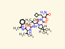 C=C(NC(=O)[C@@H](NC(=O)N[C@H](C(=O)N1C[C@H]2[C@@H]([C@H]1C(=O)NC(CC1CCC1)C(=O)C(N)=O)C2(C)C)C(C)(C)C)C(=C)C)c1ccccc1